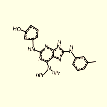 CCCN(CCC)c1nc(Nc2cccc(O)c2)nc2[nH]c(Nc3cccc(C)c3)nc12